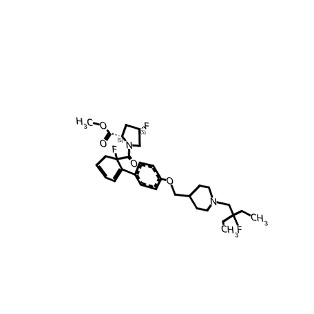 CCC(F)(CC)CN1CCC(COc2ccc(C3=CC=CCC3(F)C(=O)N3C[C@@H](F)C[C@H]3C(=O)OC)cc2)CC1